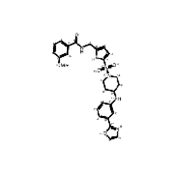 COc1cccc(C(=O)NCc2ccc(S(=O)(=O)N3CCC(Nc4cccc(-c5ncco5)c4)CC3)s2)c1